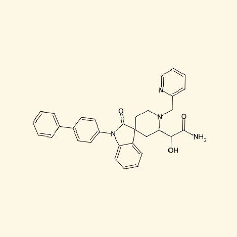 NC(=O)C(O)C1CC2(CCN1Cc1ccccn1)C(=O)N(c1ccc(-c3ccccc3)cc1)c1ccccc12